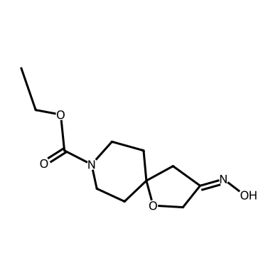 CCOC(=O)N1CCC2(CC1)CC(=NO)CO2